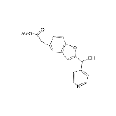 COC(=O)Cc1ccc2oc(C(O)c3ccncc3)cc2c1